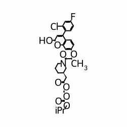 CC(C)OC(=O)OCOC(=O)C[C@H]1CCCN(C(=O)[C@@H](C)Oc2ccc3c(c2)OC(O)C=C3c2ccc(F)cc2Cl)C1